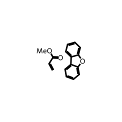 C=CC(=O)OC.c1ccc2c(c1)oc1ccccc12